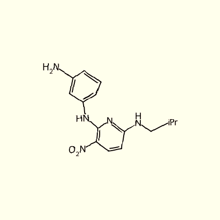 CC(C)CNc1ccc([N+](=O)[O-])c(Nc2cccc(N)c2)n1